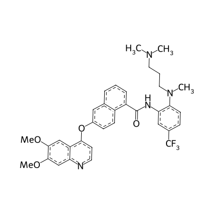 COc1cc2nccc(Oc3ccc4c(C(=O)Nc5cc(C(F)(F)F)ccc5N(C)CCCN(C)C)cccc4c3)c2cc1OC